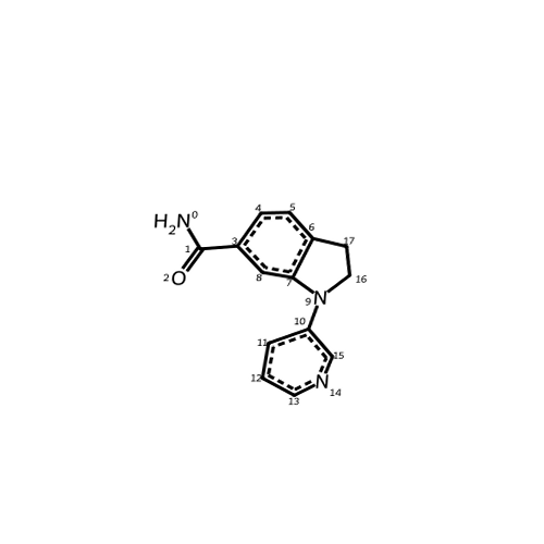 NC(=O)c1ccc2c(c1)N(c1cccnc1)CC2